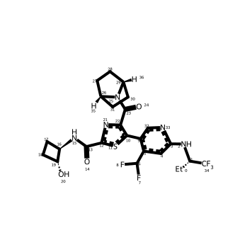 CC[C@H](Nc1cc(C(F)F)c(-c2sc(C(=O)N[C@@H]3CC[C@H]3O)nc2C(=O)N2[C@H]3CC[C@@H]2CC3)cn1)C(F)(F)F